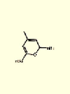 CCCCC1=CC(C)=CC(CCCC)O1